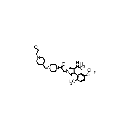 CNc1cn(CC(=O)N2CCN(CC3CCN(CC=O)CC3)CC2)nc1-c1cc(SC)ccc1C